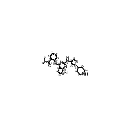 CN(C)C(=O)c1ccccc1Nc1nc(Nc2cnn(C3CCNCC3)c2)nc2[nH]ccc12